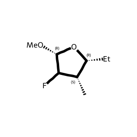 CC[C@H]1O[C@@H](OC)C(F)[C@H]1C